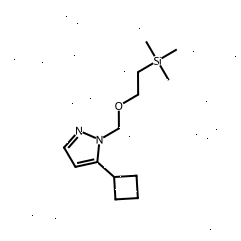 C[Si](C)(C)CCOCn1nccc1C1CCC1